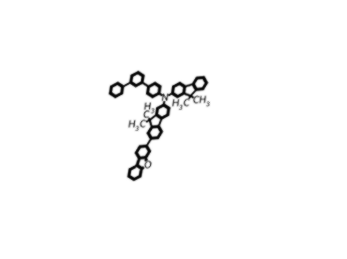 CC1(C)c2ccccc2-c2ccc(N(c3ccc(-c4cccc(-c5ccccc5)c4)cc3)c3ccc4c(c3)C(C)(C)c3cc(-c5ccc6c(c5)oc5ccccc56)ccc3-4)cc21